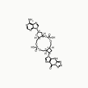 Nc1ncnc2c1ncn2[C@H]1C[C@@H]2OP(=O)(S)OC[C@H]3C[C@@H](n4cnc5c(=O)n6nnnc6[nH]c54)[C@@H]3COP(=O)(S)OC[C@H]2O1